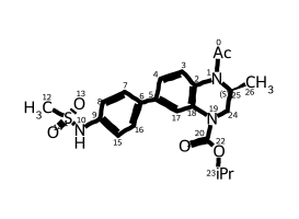 CC(=O)N1c2ccc(-c3ccc(NS(C)(=O)=O)cc3)cc2N(C(=O)OC(C)C)C[C@@H]1C